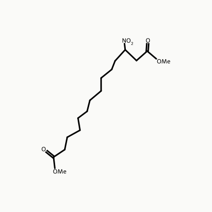 COC(=O)CCCCCCCCCCC(CC(=O)OC)[N+](=O)[O-]